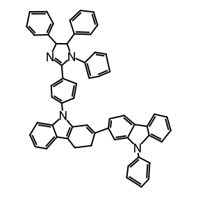 C1=C(c2ccc3c4ccccc4n(-c4ccccc4)c3c2)CCc2c1n(-c1ccc(C3=NC(c4ccccc4)C(c4ccccc4)N3c3ccccc3)cc1)c1ccccc21